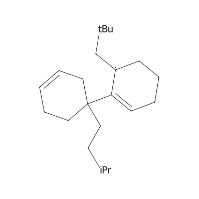 CC(C)CCC1(C2=CCCC[C]2CC(C)(C)C)CC=CCC1